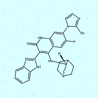 CC(C)c1nccn1-c1cc2[nH]c(=O)c(-c3nc4ccccc4[nH]3)c(N[C@H]3CN4CCC3CC4)c2cc1F